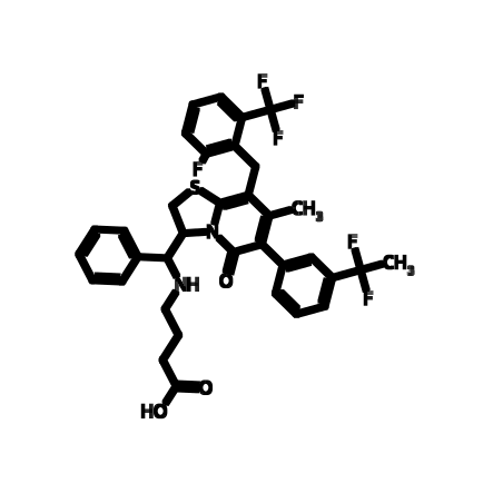 Cc1c(Cc2c(F)cccc2C(F)(F)F)c2n(c(=O)c1-c1cccc(C(C)(F)F)c1)C(C(NCCCC(=O)O)c1ccccc1)CS2